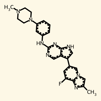 Cc1cn2cc(-c3c[nH]c4nc(Nc5cccc(N6CCN(C)CC6)c5)ncc34)cc(F)c2n1